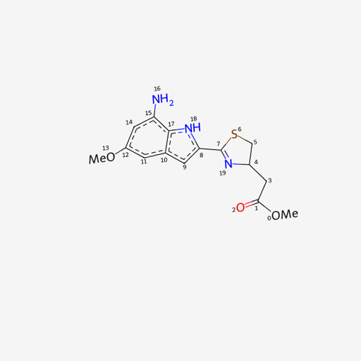 COC(=O)CC1CSC(c2cc3cc(OC)cc(N)c3[nH]2)=N1